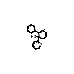 OC1(c2ccccn2)CC=CC=C1c1ccccc1